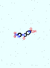 O=C1CC2(CC3CCC(C2)N3C(=O)O)CN1c1ccc([N+](=O)[O-])nc1